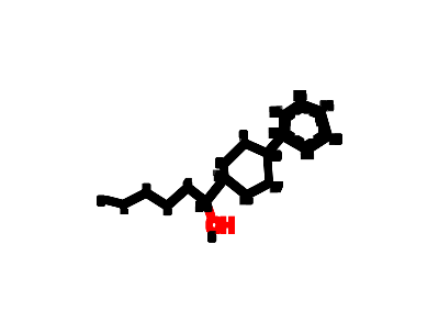 CCCCCC(O)C1CCC(c2ccccc2)CC1